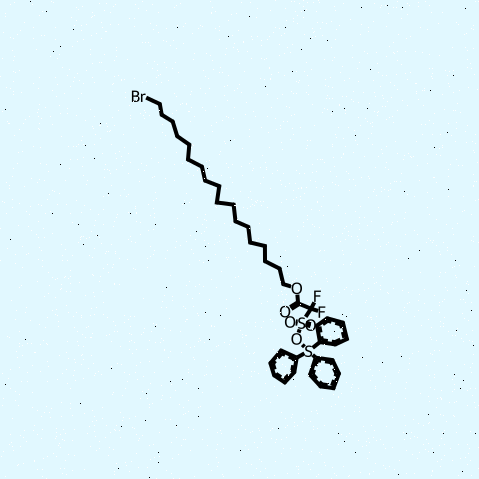 O=C(OCCCCCCCCCCCCCCCCCCBr)C(F)(F)S(=O)(=O)OS(c1ccccc1)(c1ccccc1)c1ccccc1